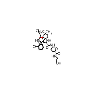 CC1(C)CCC2(CC1)N[C@@H](C(=O)N[C@@H]1CC[C@@H](C(=O)NCCO)OC1)[C@H](c1ccnc(Cl)c1F)[C@]21C(=O)Nc2cc(Cl)ccc21